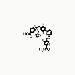 NC(=O)c1cc(F)c(COc2cccc(-c3cc(F)c(Cc4nc5ccc(C(=O)O)cc5n4C[C@@H]4CCO4)cc3F)n2)cn1